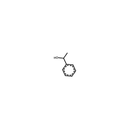 C[C](O)c1ccccc1